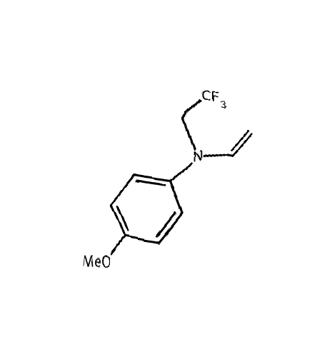 C=CN(CC(F)(F)F)c1ccc(OC)cc1